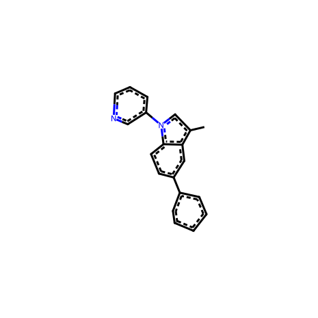 Cc1cn(-c2cccnc2)c2ccc(-c3ccccc3)cc12